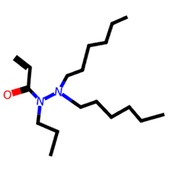 C=CC(=O)N(CCC)N(CCCCCC)CCCCCC